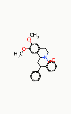 COc1cc2c(cc1OC)C(CC(c1ccccc1)c1ccccc1)N(C=O)CC2